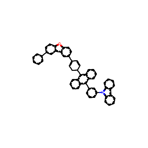 C1=CC(c2c3ccccc3c(-c3cccc(-n4c5ccccc5c5ccccc54)c3)c3ccccc23)CC=C1c1ccc2oc3ccc(-c4ccccc4)cc3c2c1